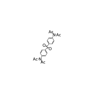 CC(=O)N(C(C)=O)c1ccc(S(=O)(=O)c2ccc(N(C(C)=O)C(C)=O)cc2)cc1